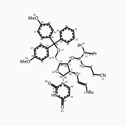 CCCCC=CO[C@@H]1[C@H](OP(OCCC#N)N(C(C)C)C(C)C)[C@@H](COC(c2ccccc2)(c2ccc(OC)cc2)c2ccc(OC)cc2)O[C@H]1n1ccc(=O)[nH]c1=O